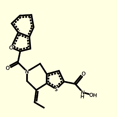 C/C=C1/CN(C(=O)c2cc3ccccc3o2)Cc2cc(C(=O)NO)sc21